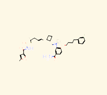 CCN(C[C@@H]1CC[C@H]1C/C=C/C[C@H](C)C[S@@+]([O-])NC(=O)c1coc(C)c1)c1cc(C(N)=O)ccc1OCCCCc1cccc(Cl)c1